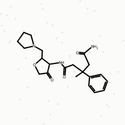 CC(CC(N)=O)(CC(=O)NC1C(=O)COC1CN1CCCC1)c1ccccc1